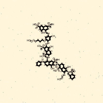 Cc1cc(N=Nc2c(S(=O)(=O)O)cc3c(S(=O)(=O)O)c(N=Nc4c(Nc5ccccc5)ccc5c(O)c(N=Nc6ccc7c(O)c(N=Nc8ccccc8S(=O)(=O)O)c(SOOO)cc7c6S(=O)(=O)O)c(S(=O)(=O)O)cc45)ccc3c2O)c(OCCCSOOO)cc1N=Nc1cc(S(=O)(=O)O)cc2cc(S(=O)(=O)O)cc(O)c12